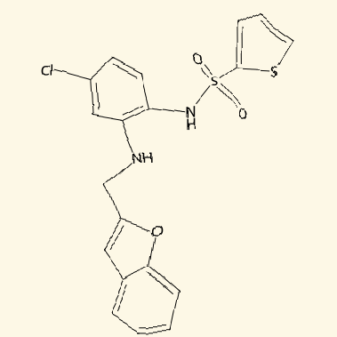 O=S(=O)(Nc1ccc(Cl)cc1NCc1cc2ccccc2o1)c1cccs1